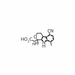 CCCC1(CC(=O)O)OCCc2c1[nH]c1c(C)ccc(C#N)c21